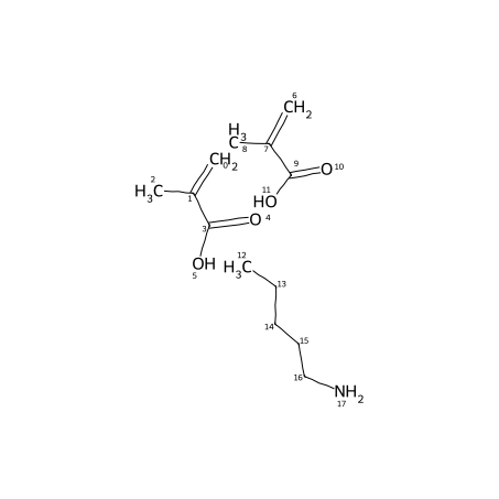 C=C(C)C(=O)O.C=C(C)C(=O)O.CCCCCN